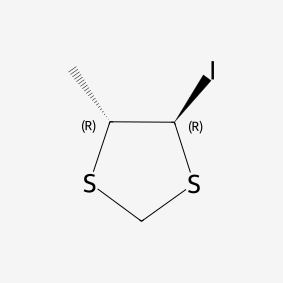 C[C@H]1SCS[C@@H]1I